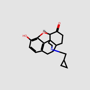 O=C1CCC2C3Cc4ccc(O)c5c4C2(CCN3CC2CC2)[C@H]1O5